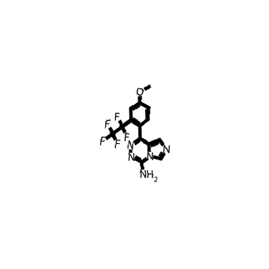 COc1ccc(-c2nnc(N)n3cncc23)c(C(F)(F)C(F)(F)F)c1